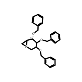 c1ccc(COC2CN3CC3[C@H](OCc3ccccc3)C2OCc2ccccc2)cc1